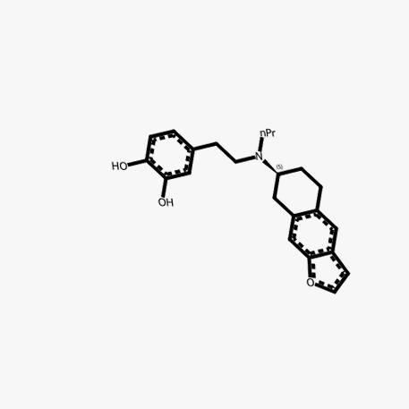 CCCN(CCc1ccc(O)c(O)c1)[C@H]1CCc2cc3ccoc3cc2C1